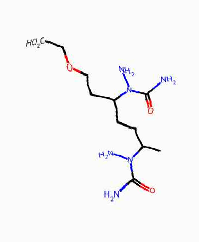 CC(CCC(CCOCC(=O)O)N(N)C(N)=O)N(N)C(N)=O